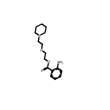 Nc1ccccc1C(=O)OCCOCCN1CCCCC1